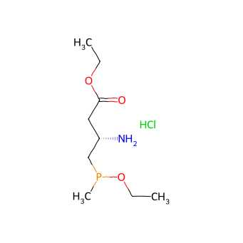 CCOC(=O)C[C@H](N)CP(C)OCC.Cl